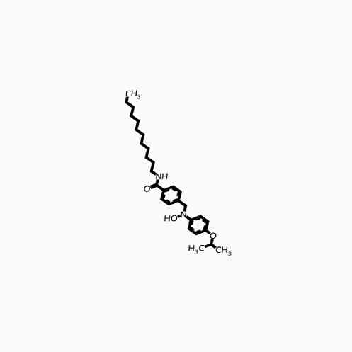 CCCCCCCCCCCCNC(=O)c1ccc(CN(O)c2ccc(OC(C)C)cc2)cc1